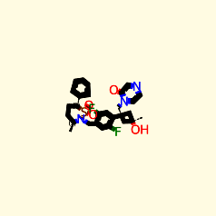 C[C@H]1CC[C@H](c2ccccc2)S(=O)(=O)N1Cc1cc(F)c([C@]2(Cn3ccncc3=O)C[C@](C)(O)C2)cc1F